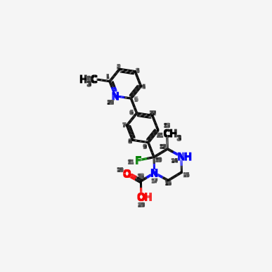 Cc1cccc(-c2ccc(C3(F)C(C)NCCN3C(=O)O)cc2)n1